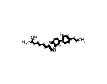 C=CCc1ccc(-c2ccc3nc(C=CCCCC(C)O)cnc3c2)c(F)c1